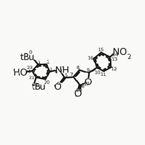 CC(C)(C)c1cc(NC(=O)C2=CC(c3ccc([N+](=O)[O-])cc3)OC2=O)cc(C(C)(C)C)c1O